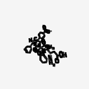 CC(=O)[C@@](C(=O)O)(N1C(=O)N(Cc2ccccc2)[C@](C)(c2ccc([N+](=O)[O-])cc2)C1=O)N(C(=O)[C@@H](N)CC(=O)O)c1ccccc1